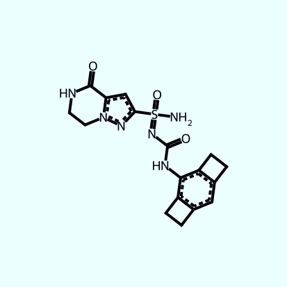 NS(=O)(=NC(=O)Nc1c2c(cc3c1CC3)CC2)c1cc2n(n1)CCNC2=O